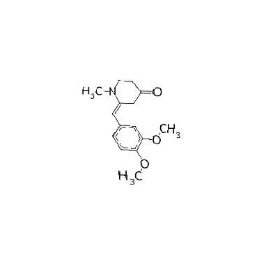 COc1ccc(C=C2CC(=O)CCN2C)cc1OC